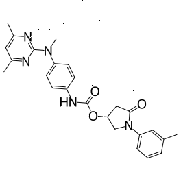 Cc1cccc(N2CC(OC(=O)Nc3ccc(N(C)c4nc(C)cc(C)n4)cc3)CC2=O)c1